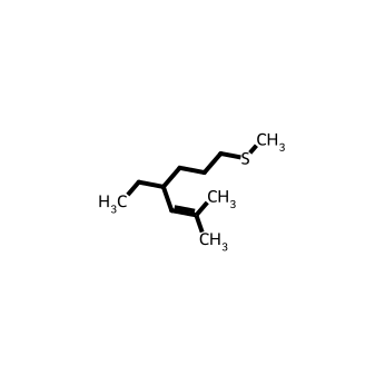 CCC(C=C(C)C)CCCSC